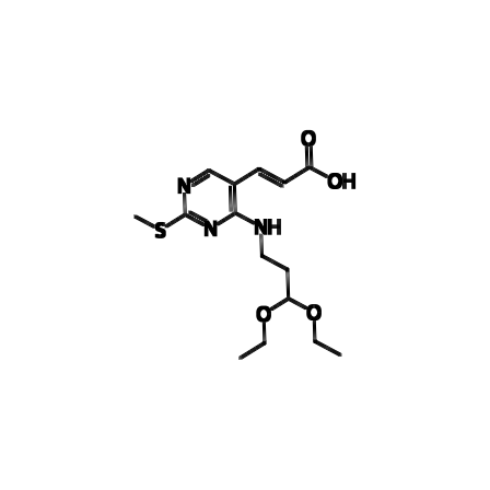 CCOC(CCNc1nc(SC)ncc1/C=C/C(=O)O)OCC